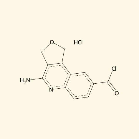 Cl.Nc1nc2ccc(C(=O)Cl)cc2c2c1COC2